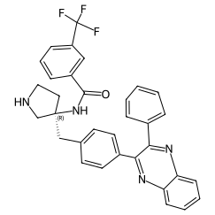 O=C(N[C@]1(Cc2ccc(-c3nc4ccccc4nc3-c3ccccc3)cc2)CCNC1)c1cccc(C(F)(F)F)c1